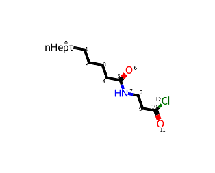 CCCCCCCCCCCC(=O)NCCC(=O)Cl